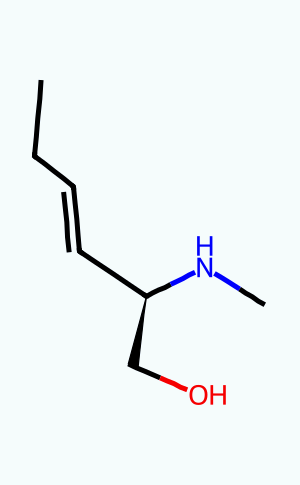 CC/C=C/[C@H](CO)NC